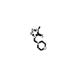 Cn1nnn(CN2CCOCC2)c1=S